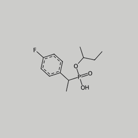 CCC(C)OP(=O)(O)C(C)c1ccc(F)cc1